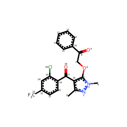 Cc1nn(C)c(OCC(=O)c2ccccc2)c1C(=O)c1ccc(C(F)(F)F)cc1Cl